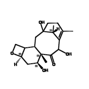 CC1=C2C(O)C(=O)[C@@]3(C)C(CC(O)(CC1)[C@@H]2C)C1CO[C@@H]1C[C@@H]3O